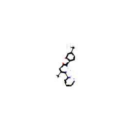 [2H]C([2H])([2H])c1ccc2c(c1)oc1cc(C([2H])([2H])[2H])c(-c3ccccn3)nc12